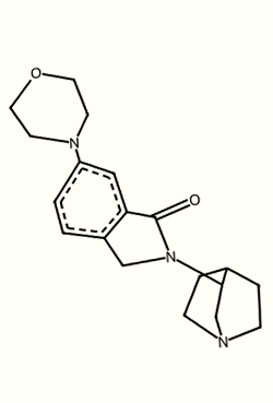 O=C1c2cc(N3CCOCC3)ccc2CN1C1CN2CCC1CC2